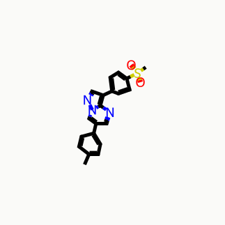 Cc1ccc(-c2cnc3c(-c4ccc(S(C)(=O)=O)cc4)cnn3c2)cc1